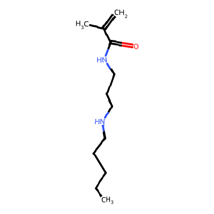 C=C(C)C(=O)NCCCNCCCCC